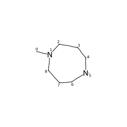 CN1CCC[N]CCC1